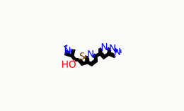 CN1CC(C(O)c2cc3ccc(-c4cnc5nn(C)cc5c4)nc3s2)C1